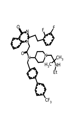 CCNC(C)(C)CN1CCC(N(Cc2ccc(-c3ccc(C(F)(F)F)cc3)cc2)C(=O)Cn2c(CCc3cccc(F)c3F)nc(=O)c3ccccc32)CC1